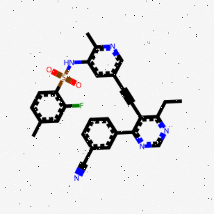 CCc1ncnc(-c2cccc(C#N)c2)c1C#Cc1cnc(C)c(NS(=O)(=O)c2ccc(C)cc2F)c1